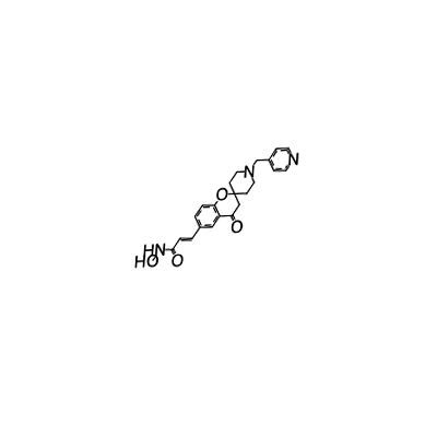 O=C(C=Cc1ccc2c(c1)C(=O)CC1(CCN(Cc3ccncc3)CC1)O2)NO